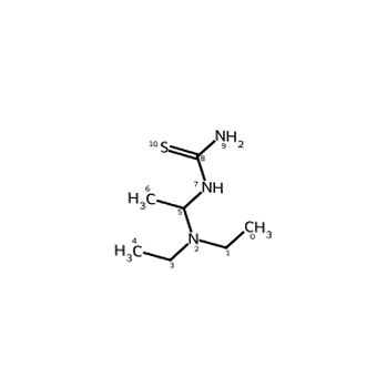 CCN(CC)C(C)NC(N)=S